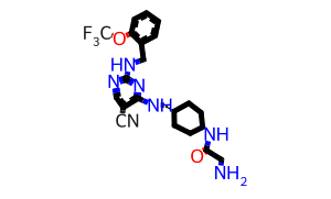 N#Cc1cnc(NCc2ccccc2OC(F)(F)F)nc1NC[C@H]1CC[C@H](NC(=O)CN)CC1